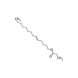 CCCCCCCC/C=C/CCCCOC(=O)CC